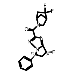 O=C(c1nc2n(n1)[C@H](c1ccccc1)C[C@@H]2F)N1CC2CC1CC2(F)F